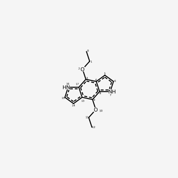 CCOc1c2cc[nH]c2c(OCC)c2cc[nH]c12